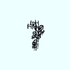 CC(C)C(=O)Nc1nc2c(ncn2[C@@H]2O[C@H](CO[Si](C)(C)C(C)(C)C)[C@H](F)C2=O)c(=O)[nH]1